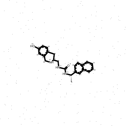 C[C@H](NC(=O)NCC1Cc2ccc(O)cc2CN1)c1ccc2ccccc2c1